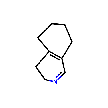 C1=NCCC2=C1CCCC2